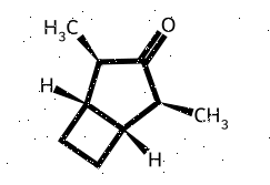 C[C@@H]1C(=O)[C@H](C)[C@H]2CC[C@H]21